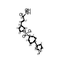 Cn1ccc(-c2ccc(S(=O)(=O)n3ccc(C=CC(=O)NO)c3)cc2)n1